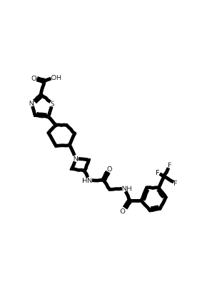 O=C(CNC(=O)c1cccc(C(F)(F)F)c1)NC1CN(C2CCC(c3cnc(C(=O)O)s3)CC2)C1